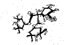 CCCCC(C(=O)OC1CC(C)(C)NC(C)(C)C1)(C(=O)OC1CC(C)(C)NC(C)(C)C1)c1cc(C(C)(C)C)c(O)c(C(C)(C)C)c1